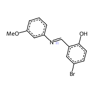 COc1cccc(/N=C/c2cc(Br)ccc2O)c1